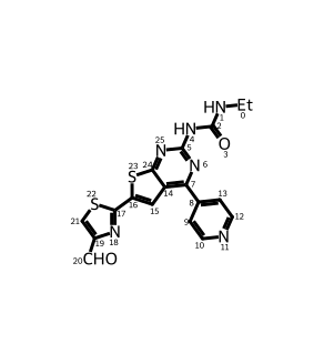 CCNC(=O)Nc1nc(-c2ccncc2)c2cc(-c3nc(C=O)cs3)sc2n1